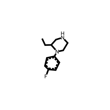 CCC1CNCCN1c1ccc(F)cc1